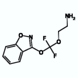 NCCOC(F)(F)Oc1noc2ccccc12